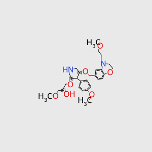 COCCCN1CCOc2ccc(CO[C@H]3CNC[C@@H](OC[C@H](O)COC)C3c3ccc(OC)cc3)cc21